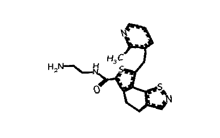 Cc1ncccc1Cc1sc(C(=O)NCCN)c2c1-c1sncc1CC2